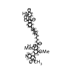 COc1cc(-c2cn(C)c(=O)c3cnccc23)cc(OC)c1CN(C)C(=O)CCCCN1CC2(C1)CN(c1ccc3c(c1)C(=O)N(C1CCC(=O)NC1=O)C3=O)C2